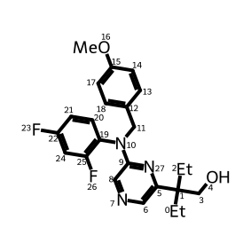 CCC(CC)(CO)c1cncc(N(Cc2ccc(OC)cc2)c2ccc(F)cc2F)n1